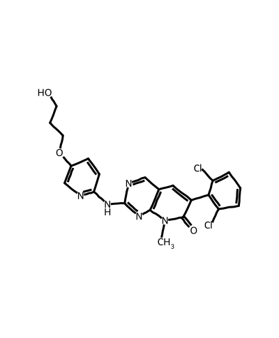 Cn1c(=O)c(-c2c(Cl)cccc2Cl)cc2cnc(Nc3ccc(OCCCO)cn3)nc21